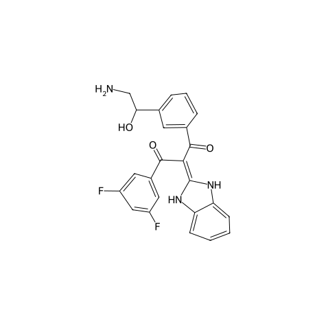 NCC(O)c1cccc(C(=O)C(C(=O)c2cc(F)cc(F)c2)=C2Nc3ccccc3N2)c1